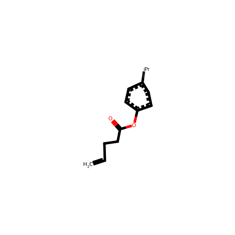 C=CCCC(=O)Oc1ccc(C(C)C)cc1